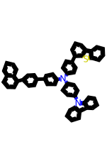 c1ccc2c(-c3ccc(-c4ccc(N(c5ccc(-c6cccc7c6sc6ccccc67)cc5)c5ccc(-n6c7ccccc7c7ccccc76)cc5)cc4)cc3)cccc2c1